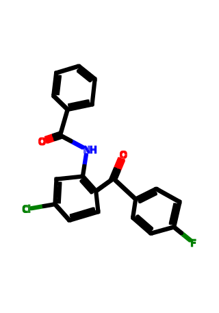 O=C(Nc1cc(Cl)ccc1C(=O)c1ccc(F)cc1)c1ccccc1